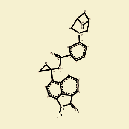 CC(C)N1C(=O)c2cccc3c(C4(NC(=O)c5cccc(N6CC7CC(C6)N7)c5)CC4)ccc1c23